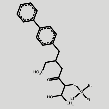 CC[Si](CC)(CC)OC(C(=O)CC(CC(=O)O)Cc1ccc(-c2ccccc2)cc1)C(C)O